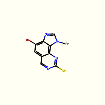 CC(C)n1cnc2c(Br)cc3cnc(S)nc3c21